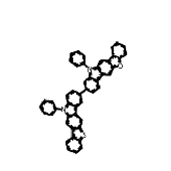 c1ccc(-n2c3cc(-c4ccc5c(c4)c4cc6sc7ccccc7c6cc4n5-c4ccccc4)ccc3c3cc4oc5ccccc5c4cc32)cc1